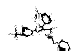 O=C(NCCN1CCCCC1)c1nc(-c2ccc(C(F)(F)F)cc2)oc1-c1ccccc1[N+](=O)[O-]